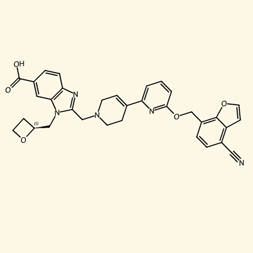 N#Cc1ccc(COc2cccc(C3=CCN(Cc4nc5ccc(C(=O)O)cc5n4C[C@@H]4CCO4)CC3)n2)c2occc12